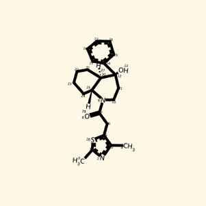 Cc1nc(C)c(CC(=O)N2CC[C@@](O)(c3ccccc3)[C@@H]3CCCC[C@H]32)s1